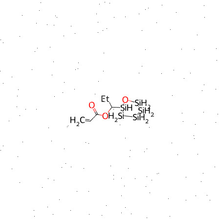 C=CC(=O)OC(CC)[SiH]1O[SiH2][SiH2][SiH2][SiH2]1